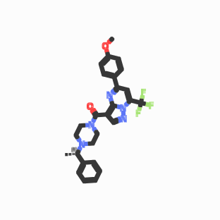 COc1ccc(-c2cc(C(F)(F)F)n3ncc(C(=O)N4CCN([C@@H](C)c5ccccc5)CC4)c3n2)cc1